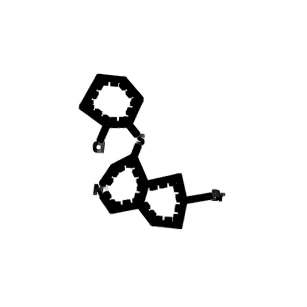 Clc1ccccc1Sc1cncc2ccc(Br)cc12